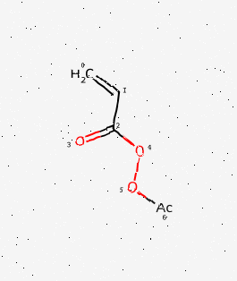 C=CC(=O)OOC(C)=O